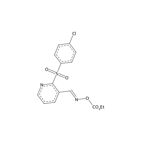 CCOC(=O)ON=Cc1cccnc1S(=O)(=O)c1ccc(Cl)cc1